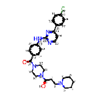 O=C(CCN1CCCCC1)N1CCN(C(=O)c2ccc(Nc3nccc(-c4ccc(Cl)cc4)n3)cc2)CC1